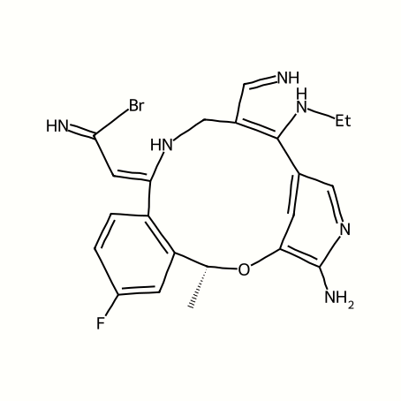 CCN/C1=C(\C=N)CN/C(=C\C(=N)Br)c2ccc(F)cc2[C@@H](C)Oc2cc1cnc2N